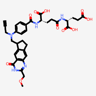 C#CCN(CC1CCc2cc3nc(COC)[nH]c(=O)c3cc21)c1ccc(C(=O)N[C@@H](CCC(=O)N[C@H](CCC(=O)O)C(=O)O)C(=O)O)cc1